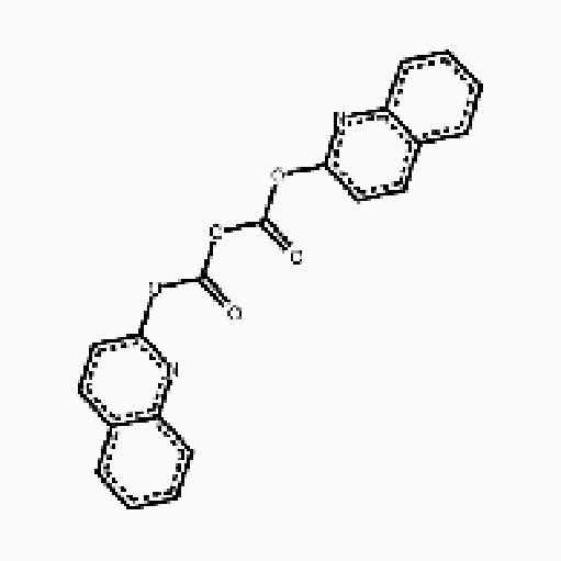 O=C(OC(=O)Oc1ccc2ccccc2n1)Oc1ccc2ccccc2n1